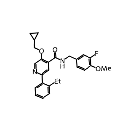 CCc1ccccc1-c1cc(C(=O)NCc2ccc(OC)c(F)c2)c(OCC2CC2)cn1